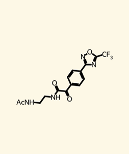 CC(=O)NCCNC(=O)C(=O)c1ccc(-c2noc(C(F)(F)F)n2)cc1